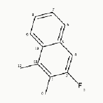 Cc1c(F)cc2ccccc2c1C